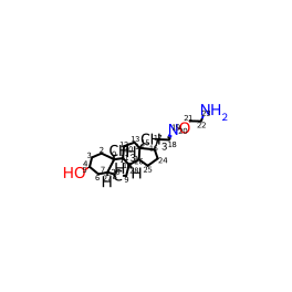 C[C@]12CC[C@H](O)C[C@H]1CC[C@@H]1[C@@H]2CC[C@]2(C)[C@@H](C/C=N/OCCN)CC[C@@H]12